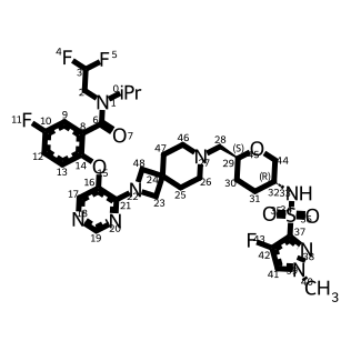 CC(C)N(CC(F)F)C(=O)c1cc(F)ccc1Oc1cncnc1N1CC2(CCN(C[C@@H]3CC[C@@H](NS(=O)(=O)c4nn(C)cc4F)CO3)CC2)C1